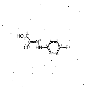 O=C(O)C(Cl)=NNc1ccc(F)cc1